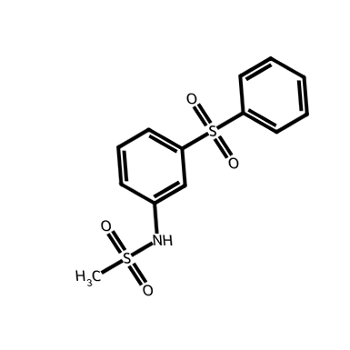 CS(=O)(=O)Nc1cccc(S(=O)(=O)c2ccccc2)c1